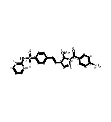 COC1C(/C=C/c2ccc(S(=O)(=O)Nc3ncccn3)cc2)C=NN1C(=O)c1ccc(N)cc1